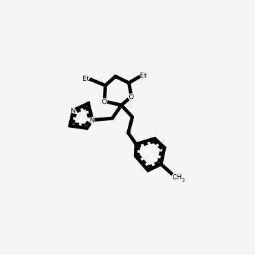 CCC1CC(CC)OC(CCc2ccc(C)cc2)(Cn2ccnc2)O1